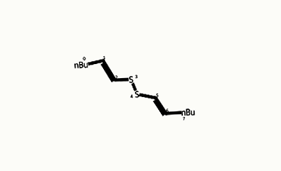 CCCCC=CSSC=CCCCC